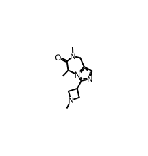 CC1C(=O)N(C)Cc2cnc(C3CN(C)C3)n21